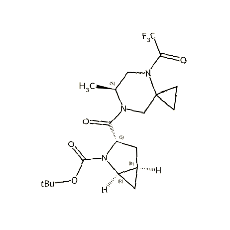 C[C@H]1CN(C(=O)C(F)(F)F)C2(CC2)CN1C(=O)[C@@H]1C[C@H]2C[C@H]2N1C(=O)OC(C)(C)C